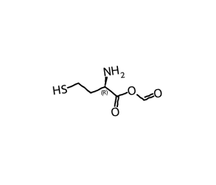 N[C@H](CCS)C(=O)OC=O